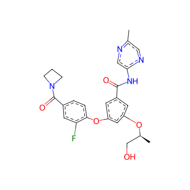 Cc1cnc(NC(=O)c2cc(Oc3ccc(C(=O)N4CCC4)cc3F)cc(O[C@@H](C)CO)c2)cn1